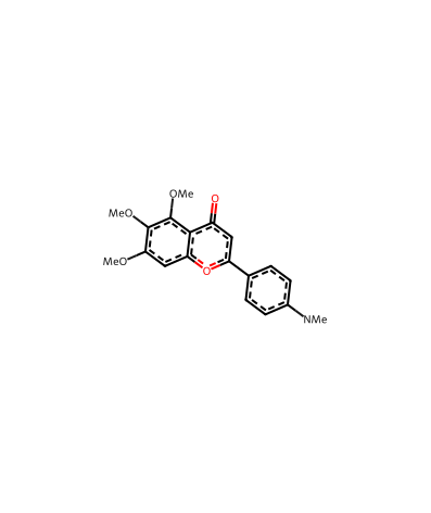 CNc1ccc(-c2cc(=O)c3c(OC)c(OC)c(OC)cc3o2)cc1